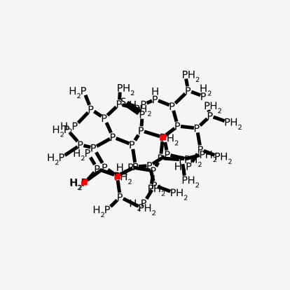 PPP(P(P)P)P(P(P(P)P)P(P)P)P(P(P=S)P(P(P(P(P)P)P(P)P)P(P(P)P)P(P)P)P(P(P(P)P)P(P)P)P(P(P)P)P(P)P)P(P(P)P)P(P)P